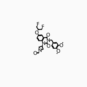 COc1ccc(Cn2c(=O)c3cc(OC(CF)CF)ccc3n(C3CN(C=O)C3)c2=O)cc1OC